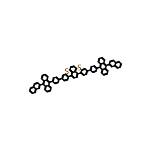 c1ccc2cc(-c3c4ccccc4c(-c4ccc(-c5ccc6c(c5)Sc5ccc7c8c(ccc-6c58)-c5ccc(-c6ccc(-c8c9ccccc9c(-c9ccc%10ccccc%10c9)c9ccccc89)cc6)cc5S7)cc4)c4ccccc34)ccc2c1